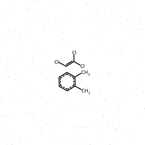 Cc1ccccc1C.ClC=C(Cl)Cl